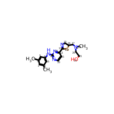 Cc1cc(C)cc(Nc2nccc(C3=NCC(CN(C)CCO)S3)n2)c1